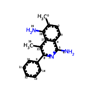 Cc1ccc2c(N)nc(-c3ccccc3)c(C)c2c1N